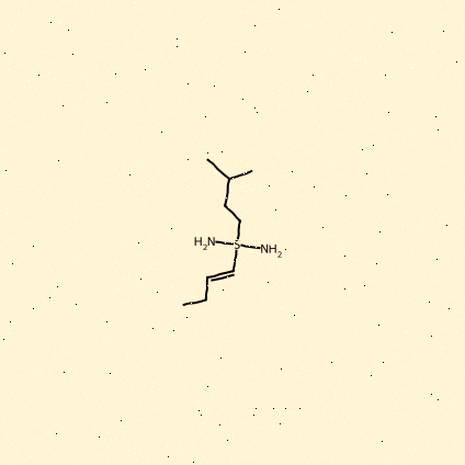 CC/C=C/S(N)(N)CCC(C)C